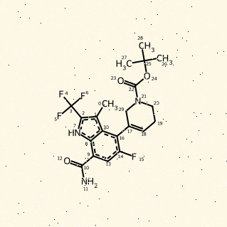 Cc1c(C(F)(F)F)[nH]c2c(C(N)=O)cc(F)c(C3=CCCN(C(=O)OC(C)(C)C)C3)c12